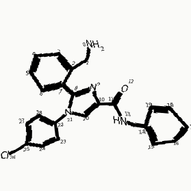 NCc1ccccc1-c1nc(C(=O)Nc2ccccc2)cn1-c1ccc(Cl)cc1